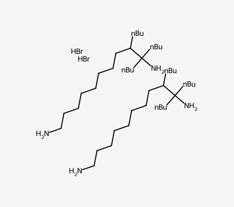 Br.Br.CCCCC(CCCCCCCCN)C(N)(CCCC)CCCC.CCCCC(CCCCCCCCN)C(N)(CCCC)CCCC